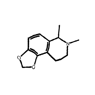 CC1c2ccc3c(c2CCN1C)OCO3